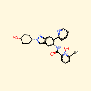 CC(C)c1cccc(C(=O)Nc2cc3cn([C@H]4CC[C@H](O)CC4)nc3cc2-c2ccccn2)[n+]1O